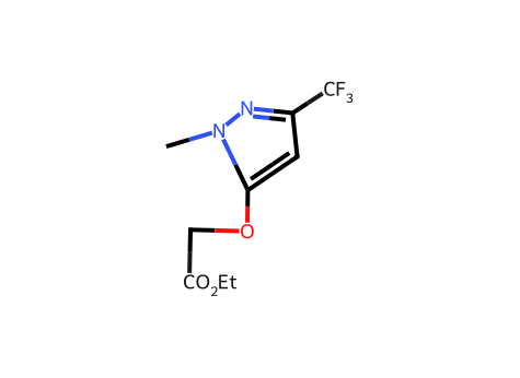 CCOC(=O)COc1cc(C(F)(F)F)nn1C